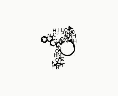 Cc1nc2ccccc2c2c1O[C@]1(CC2)C[C@H]2C(=O)N[C@]3(C(=O)NS(=O)(=O)C4(C)CC4)C[C@H]3/C=C\CCCCC[C@H](NC(=O)OC(C(F)(F)F)C(F)(F)F)C(=O)N2C1